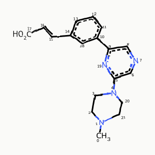 CN1CCN(c2cncc(-c3cccc(C=CC(=O)O)c3)n2)CC1